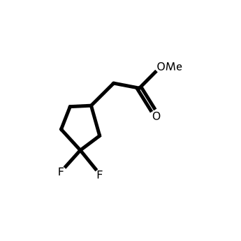 COC(=O)CC1CCC(F)(F)C1